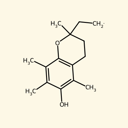 [CH2]CC1(C)CCc2c(C)c(O)c(C)c(C)c2O1